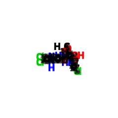 COC(=O)c1cc(O)c(C(=O)Nc2ccc(Cl)cc2)cc1NC(=O)c1ccc(-c2nc3cc(Cl)c(Cl)cc3[nH]2)cc1